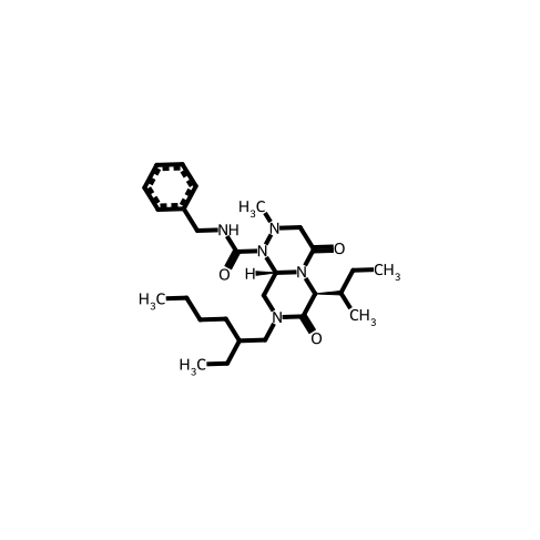 CCCCC(CC)CN1C[C@H]2N(C(=O)CN(C)N2C(=O)NCc2ccccc2)[C@@H](C(C)CC)C1=O